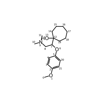 COc1ccc(OC(CN(C)C)C2(O)CCCCCC2)cc1